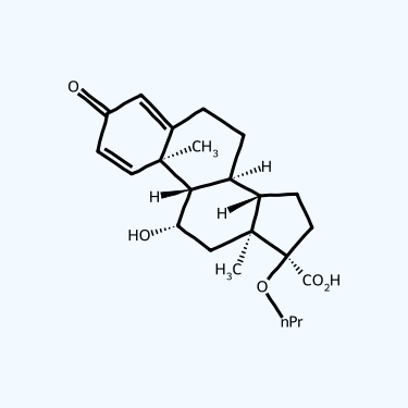 CCCO[C@]1(C(=O)O)CC[C@H]2[C@@H]3CCC4=CC(=O)C=C[C@]4(C)[C@H]3[C@@H](O)C[C@@]21C